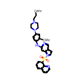 COCCN1CCN(c2ccc(Nc3cc4c(ccn4S(=O)(=O)c4cccc5cccnc45)cn3)c(OC)c2)CC1